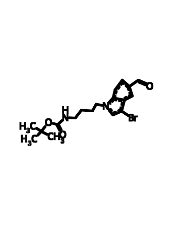 CC(C)(C)OC(=O)NCCCCn1cc(Br)c2cc(C=O)ccc21